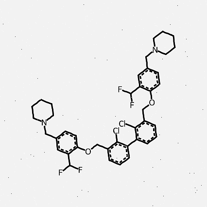 FC(F)c1cc(CN2CCCCC2)ccc1OCc1cccc(-c2cccc(COc3ccc(CN4CCCCC4)cc3C(F)F)c2Cl)c1Cl